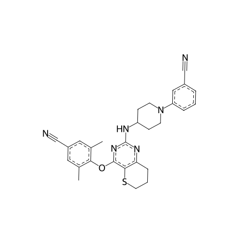 Cc1cc(C#N)cc(C)c1Oc1nc(NC2CCN(c3cccc(C#N)c3)CC2)nc2c1SCCC2